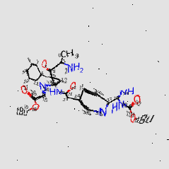 CC(N)C(=O)C1(C2CCCCC2)C[C@]1(N=CC(=O)OC(C)(C)C)NC(=O)Cc1ccc(C(=N)NC(=O)OC(C)(C)C)nc1